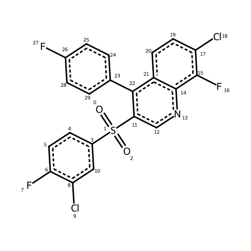 O=S(=O)(c1ccc(F)c(Cl)c1)c1cnc2c(F)c(Cl)ccc2c1-c1ccc(F)cc1